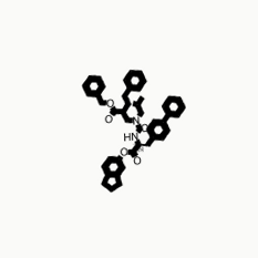 CC(C)CN(CC(CCc1ccccc1)C(=O)OCc1ccccc1)C(=O)N[C@@H](Cc1ccc(-c2ccccc2)cc1)C(=O)Oc1ccc2c(c1)CCC2